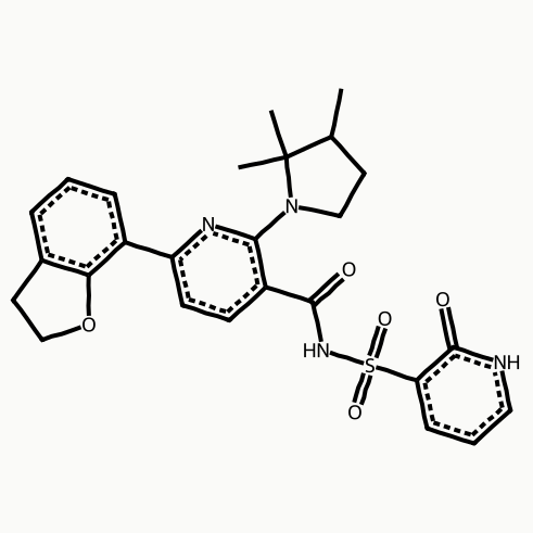 CC1CCN(c2nc(-c3cccc4c3OCC4)ccc2C(=O)NS(=O)(=O)c2ccc[nH]c2=O)C1(C)C